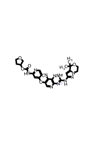 CNc1c(/N=C(\I)Nc2cc3n(n2)CCOC3(C)C)ncc(Oc2ccnc(NC(=O)OC3CCOC3)c2)c1C#N